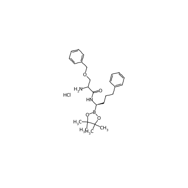 CC1(C)OB([C@H](CCCc2ccccc2)NC(=O)C(N)COCc2ccccc2)OC1(C)C.Cl